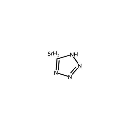 [SrH2].c1nnn[nH]1